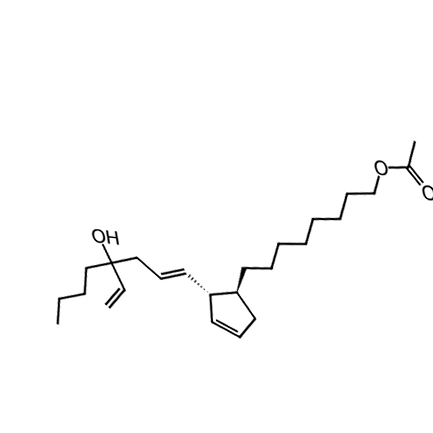 C=CC(O)(C/C=C/[C@H]1C=CC[C@@H]1CCCCCCCCOC(C)=O)CCCC